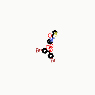 O=C(OC(c1ccc(Br)cc1)c1ccc(Br)cc1)OC1C[N+]2(CC(=O)c3cccs3)CCC1CC2